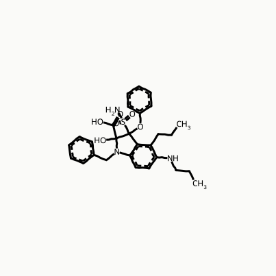 CCCNc1ccc2c(c1CCC)C(Oc1ccccc1)(S(N)(=O)=O)C(O)(C(=O)O)N2Cc1ccccc1